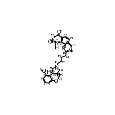 COc1cccc2c1[C@@H]1CN(CCCCc3ncc4ccc5c(c4n3)N[N+](=O)CC5=O)C[C@@H]1CO2